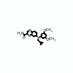 COc1cc(OC)cc(N(CC2CC2)c2ccc3ncc(C(N)=O)nc3c2)c1